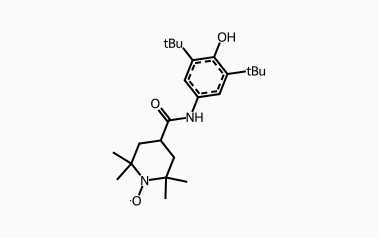 CC(C)(C)c1cc(NC(=O)C2CC(C)(C)N([O])C(C)(C)C2)cc(C(C)(C)C)c1O